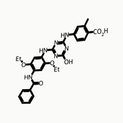 CCOc1cc(Nc2nc(O)nc(Nc3ccc(C(=O)O)c(C)c3)n2)c(OCC)cc1NC(=O)c1ccccc1